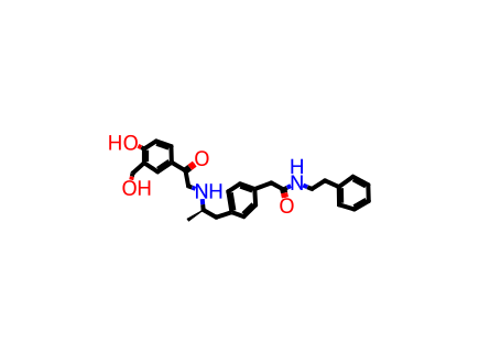 C[C@H](Cc1ccc(CC(=O)NCCc2ccccc2)cc1)NCC(=O)c1ccc(O)c(CO)c1